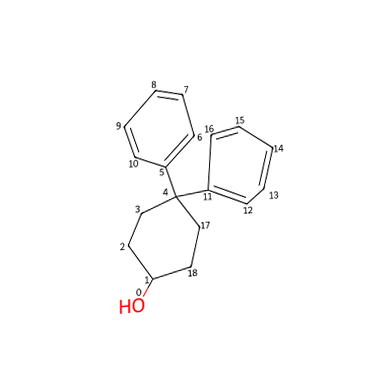 OC1CCC(c2ccccc2)(c2ccccc2)CC1